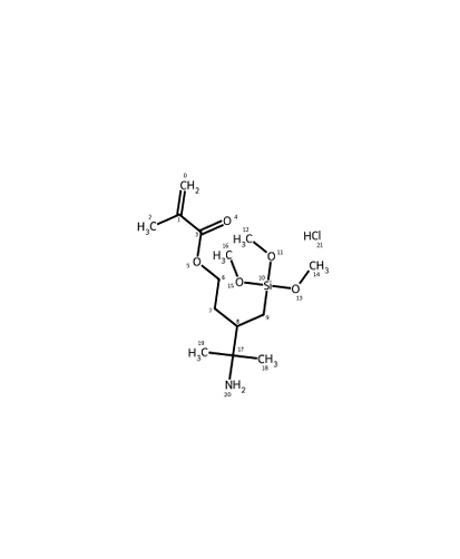 C=C(C)C(=O)OCCC(C[Si](OC)(OC)OC)C(C)(C)N.Cl